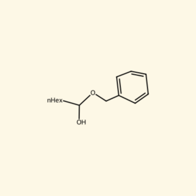 CCCCCCC(O)OCc1ccccc1